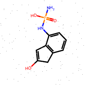 NP(=O)(O)Nc1cccc2c1C=C(O)C2